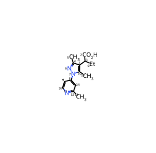 CCC(C(=O)O)c1c(C)nn(-c2ccnc(C)c2)c1C